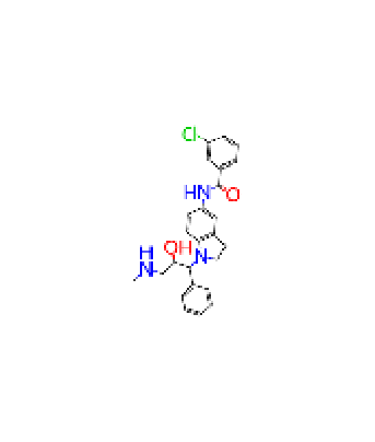 CNC[C@@H](O)[C@H](c1ccccc1)N1CCc2cc(NC(=O)c3cccc(Cl)c3)ccc21